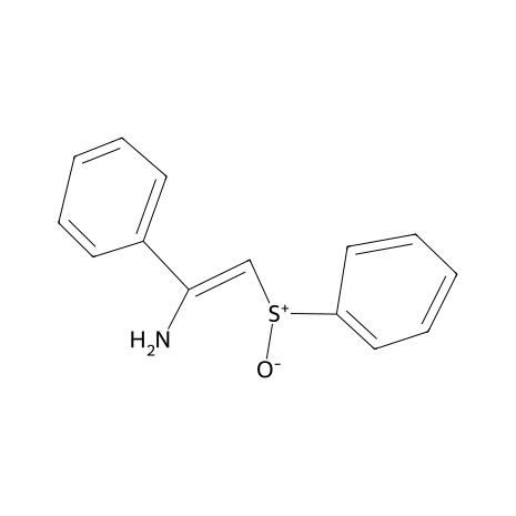 N/C(=C\[S+]([O-])c1ccccc1)c1ccccc1